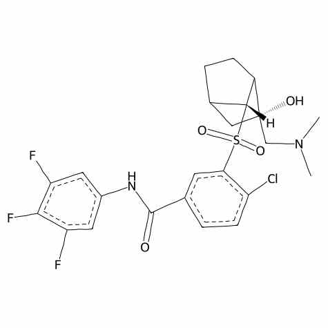 CN(C)C[C@@]1(O)CC2CCC1[C@@H]2S(=O)(=O)c1cc(C(=O)Nc2cc(F)c(F)c(F)c2)ccc1Cl